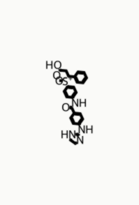 O=C(O)CC(c1ccccc1)[S+]([O-])c1ccc(NC(=O)c2ccc(NC3=NCCN3)cc2)cc1